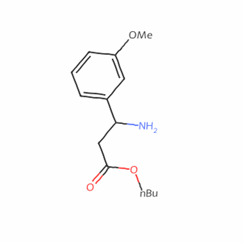 CCCCOC(=O)CC(N)c1cccc(OC)c1